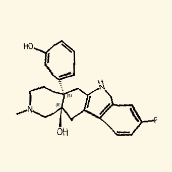 CN1CC[C@@]2(c3cccc(O)c3)Cc3[nH]c4cc(F)ccc4c3C[C@]2(O)C1